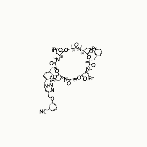 CC(C)C[C@H]1C(=O)O[C@H](Cc2ccc(Cn3cc(COc4cccc(C#N)c4)nn3)cc2)C(=O)N(C)[C@@H](CC(C)C)C(=O)O[C@H](C)C(=O)N(C)[C@@H](CC(C)C)C(=O)O[C@H](Cc2ccccc2)C(=O)N(C)[C@@H](CC(C)C)C(=O)O[C@H](C)C(=O)N1C